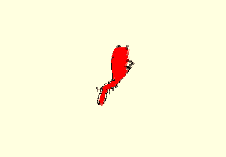 COc1cc2c(cc1OCCCOc1cc3c(cc1OC)C(=O)N1C=C(c4ccc(NC(=O)[C@H](C)NC(=O)CNC(=O)CCCCCN5C(=O)C=CC5=O)cc4)C[C@H]1C=N3)N=CC1CC(c3ccc(N4CCN(C)CC4)cc3)=CN1C2=O